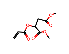 C=CC(=O)OC(CC(=O)OC)C(=O)OC